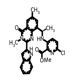 COC(=O)c1nc(Cl)ccc1N[C@H](C)c1cc(C)cc2c(=O)n(C)c(-c3cc4ccccc4[nH]3)nc12